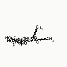 CCCCCCCC(=O)OC[C@H](CSC[C@@H](N)C(=O)Nc1cn(C[C@H](O)[C@H](O)[C@H](O)[C@H](O)CO)nn1)OC(=O)CCCCCCC